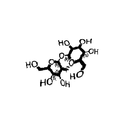 OCC1O[C@H](O[C@H]2OC(CO)[C@@H](O)[C@H](O)C2F)C(O)C(O)[C@@H]1O